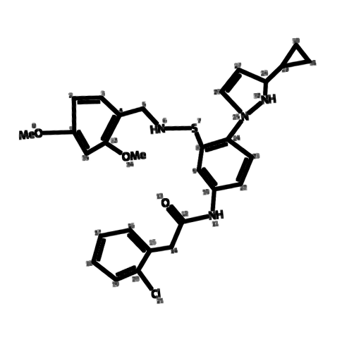 COc1ccc(CNSc2cc(NC(=O)Cc3ccccc3Cl)ccc2N2C=CC(C3CC3)N2)c(OC)c1